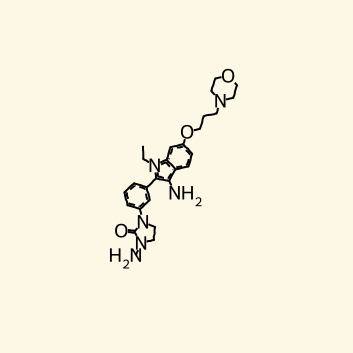 CCn1c(-c2cccc(N3CCN(N)C3=O)c2)c(N)c2ccc(OCCCN3CCOCC3)cc21